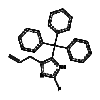 C=CCc1nc(F)[nH]c1C(c1ccccc1)(c1ccccc1)c1ccccc1